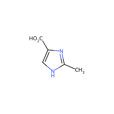 Cc1nc(C(=O)O)c[nH]1